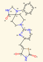 O=C1NC(=O)/C(=C/c2ccnc(N3CCC4(CC3)C(=O)NCN4c3ccccc3)n2)S1